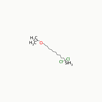 C=C(C)COCCCCCCCCCCCC([SiH3])(Cl)Cl